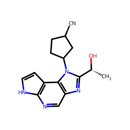 C[C@@H](O)c1nc2cnc3[nH]ccc3c2n1C1CCC(C#N)C1